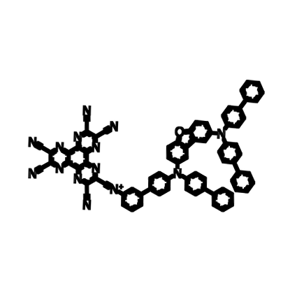 N#Cc1nc2c3nc(C#N)c(C#N)nc3c3nc(C#[N+]c4cccc(-c5ccc(N(c6ccc(-c7ccccc7)cc6)c6ccc7oc8ccc(N(c9ccc(-c%10ccccc%10)cc9)c9ccc(-c%10ccccc%10)cc9)cc8c7c6)cc5)c4)c(C#N)nc3c2nc1C#N